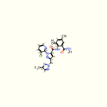 CCNC(=O)c1cc(C#N)cc(C)c1NC(=O)c1cc(Cn2ncc(C(F)(F)F)n2)nn1-c1ncccc1Cl